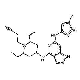 CCC1CC(Nc2nc(Nc3cc(C)[nH]n3)cc3[nH]ccc23)CC(CC)N1CCC#N